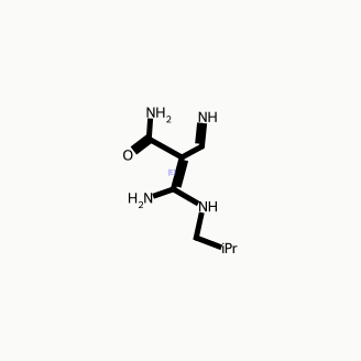 CC(C)CN/C(N)=C(\C=N)C(N)=O